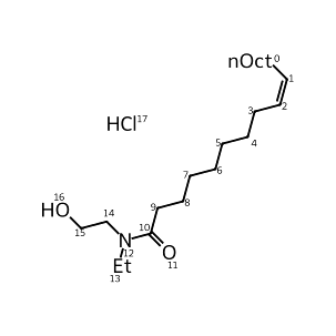 CCCCCCCC/C=C\CCCCCCCC(=O)N(CC)CCO.Cl